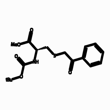 COC(=O)[C@H](CSCC(=O)c1ccccc1)NC(=O)OC(C)(C)C